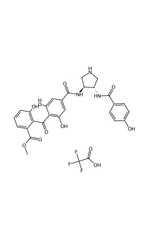 COC(=O)c1cccc(O)c1C(=O)c1c(O)cc(C(=O)N[C@H]2CNC[C@@H]2NC(=O)c2ccc(O)cc2)cc1O.O=C(O)C(F)(F)F